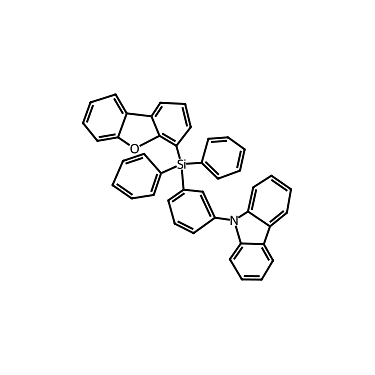 c1ccc([Si](c2ccccc2)(c2cccc(-n3c4ccccc4c4ccccc43)c2)c2cccc3c2oc2ccccc23)cc1